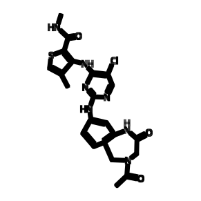 CNC(=O)c1scc(C)c1Nc1nc(Nc2ccc3c(c2)NC(=O)CN(C(C)=O)C3)ncc1Cl